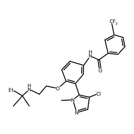 CCC(C)(C)NCCOc1ccc(NC(=O)c2cccc(C(F)(F)F)c2)cc1-c1c(Cl)cnn1C